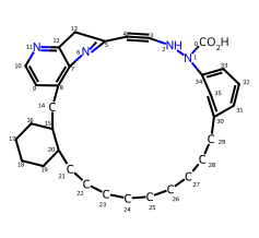 O=C(O)N1NC#CC2=Nc3c(ccnc3C2)CC2CCCCC2CCCCCCCCCc2cccc1c2